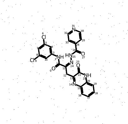 O=C(Nc1cc(Cl)cc(Cl)c1)C(Cc1nc2ccccc2[nH]c1=O)=NNC(=O)c1ccncc1